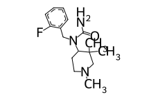 CN1CCC(N(Cc2ccccc2F)C(N)=O)C(C)(C)C1